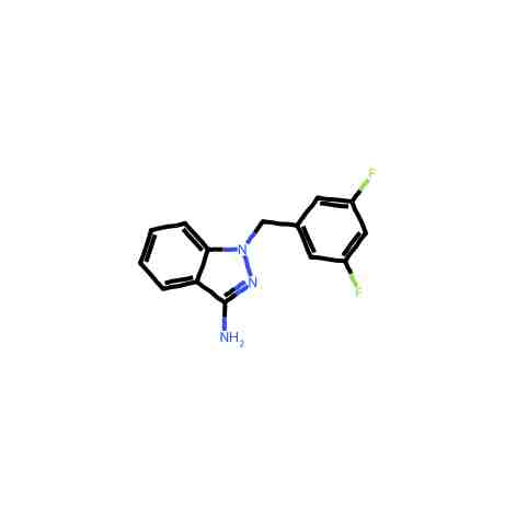 Nc1nn(Cc2cc(F)cc(F)c2)c2ccccc12